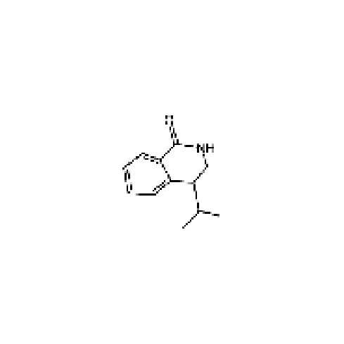 CC(C)C1CNC(=O)c2ccccc21